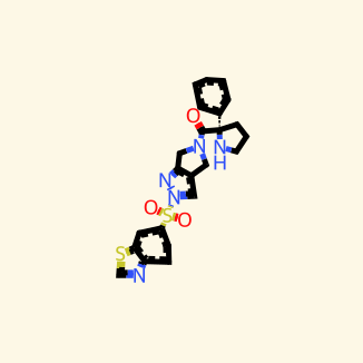 O=C(N1Cc2cn(S(=O)(=O)c3ccc4ncsc4c3)nc2C1)[C@@]1(c2ccccc2)CCCN1